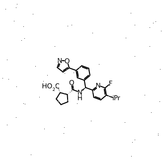 CC(C)c1ccc([C@@H](NC(=O)[C@@H]2CCC[C@@H]2C(=O)O)c2cccc(-c3ccno3)c2)nc1F